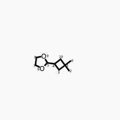 CC1(C)CC([C]2OCCO2)C1